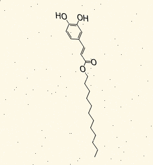 CCCCCCCCCCCCOC(=O)C=Cc1ccc(O)c(O)c1